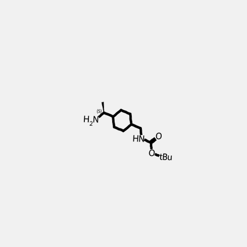 C[C@H](N)C1CCC(CNC(=O)OC(C)(C)C)CC1